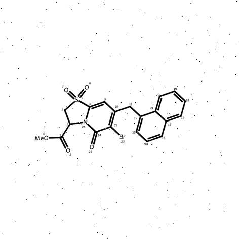 COC(=O)C1CS(=O)(=O)c2cc(Cc3cccc4ccccc34)c(Br)c(=O)n21